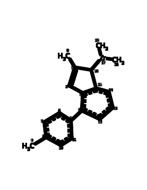 CC1=Cc2c(-c3ccc(C)cc3)cccc2[CH]1[Zr]([CH3])[CH3]